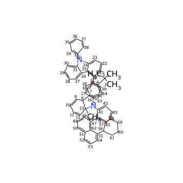 CC(C)(C)c1ccc(C2C=CC=CC2(C)N(c2ccc(-c3cccc4c3c3ccccc3n4-c3ccccc3)cc2)c2ccccc2-c2cccc3cccc(C4CCCCC4)c23)cc1